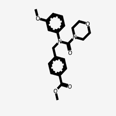 COC(=O)c1ccc(CN(C(=O)N2CCOCC2)c2cccc(OC)c2)cc1